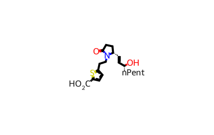 CCCCC[C@@H](O)/C=C/[C@H]1CCC(=O)N1CCc1ccc(C(=O)O)s1